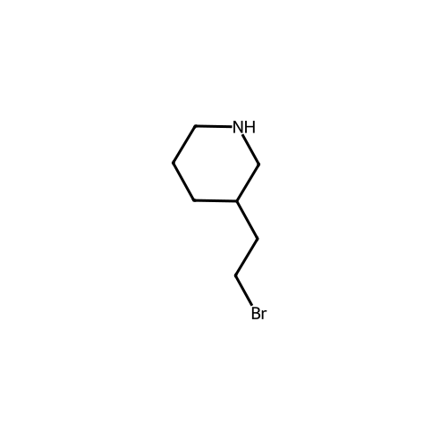 BrCCC1CCCNC1